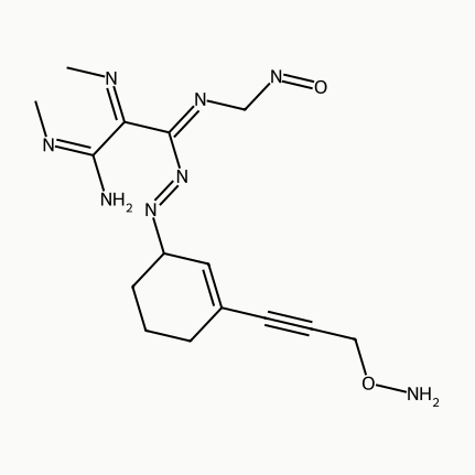 C\N=C(N)/C(=N\C)C(/N=NC1C=C(C#CCON)CCC1)=N/CN=O